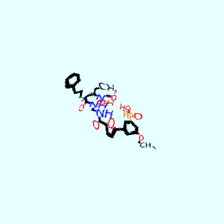 CCOc1cc(-c2ccc(C(=O)NCNC(=O)[C@H](CCCc3ccccc3)[C@@H](CC)N(O)C=O)o2)cc([PH](=O)O)c1